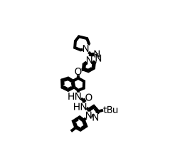 Cc1ccc(-n2nc(C(C)(C)C)cc2NC(=O)NC2CCC(Oc3ccc4nnc(N5CCCCCC5)n4c3)c3ccccc32)cc1